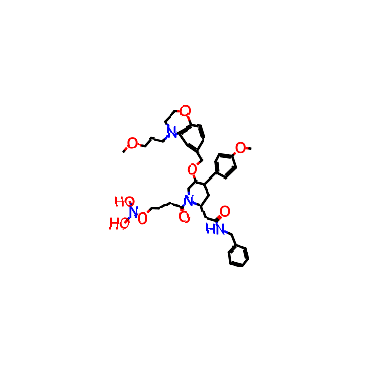 COCCCN1CCOc2ccc(COC3CN(C(=O)CCCON(O)O)C(CC(=O)NCc4ccccc4)CC3c3ccc(OC)cc3)cc21